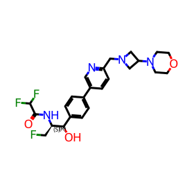 O=C(N[C@H](CF)[C@H](O)c1ccc(-c2ccc(CN3CC(N4CCOCC4)C3)nc2)cc1)C(F)F